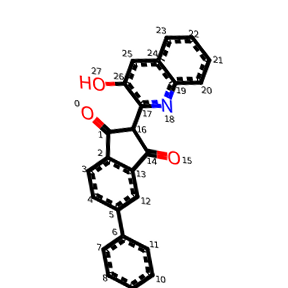 O=C1c2ccc(-c3ccccc3)cc2C(=O)C1c1nc2ccccc2cc1O